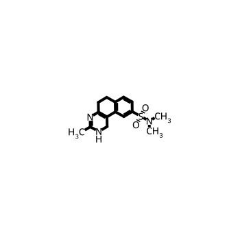 CC1=NC2=C(CN1)c1cc(S(=O)(=O)N(C)C)ccc1CC2